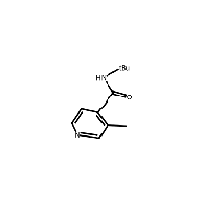 Cc1cnccc1C(=O)NC(C)(C)C